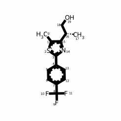 Cc1sc(-c2ccc(C(F)(F)F)cc2)nc1[C@@H](C)CO